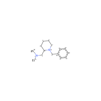 CCN(CC1CCCCN1Cc1ccccc1)C(C)C